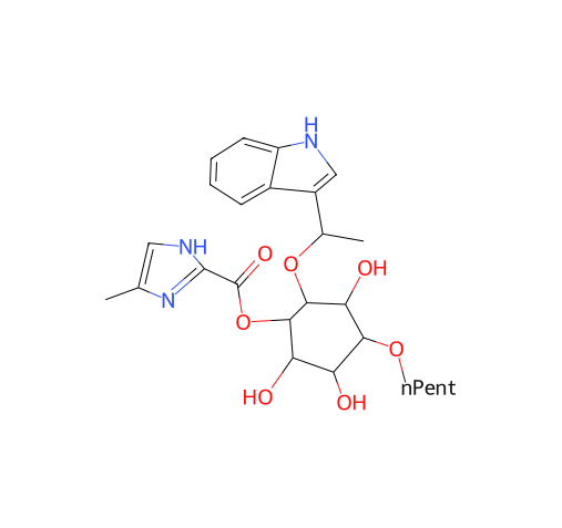 CCCCCOC1C(O)C(O)C(OC(=O)c2nc(C)c[nH]2)C(OC(C)c2c[nH]c3ccccc23)C1O